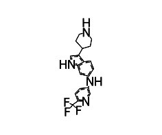 FC(F)(F)c1ccc(Nc2ccc3c(C4CCNCC4)c[nH]c3c2)cn1